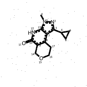 Cn1nc(C2CC2)c2c3c(c(=O)[nH]c21)COCC3